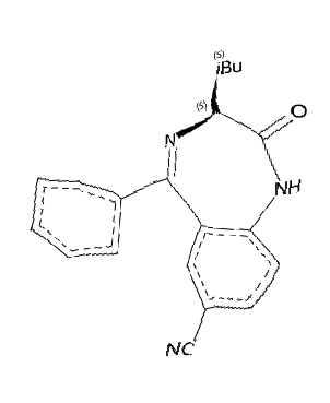 CC[C@H](C)[C@@H]1N=C(c2ccccc2)c2cc(C#N)ccc2NC1=O